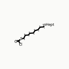 CCCCCCCCCCCCCCCCSC(=O)Cl